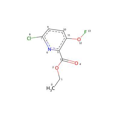 CCOC(=O)c1nc(Cl)ccc1OF